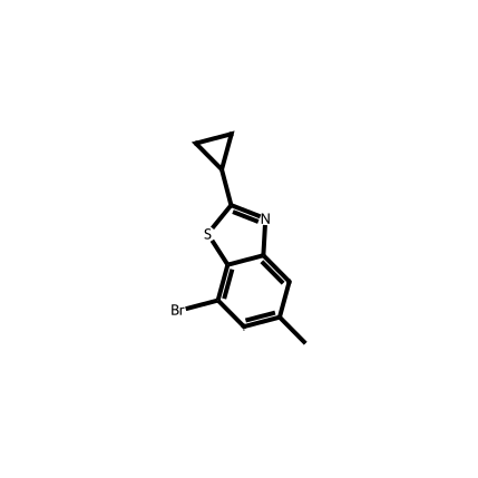 Cc1[c]c(Br)c2sc(C3CC3)nc2c1